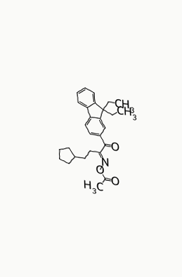 CCC1(CC)c2ccccc2-c2ccc(C(=O)/C(CCC3CCCC3)=N/OC(C)=O)cc21